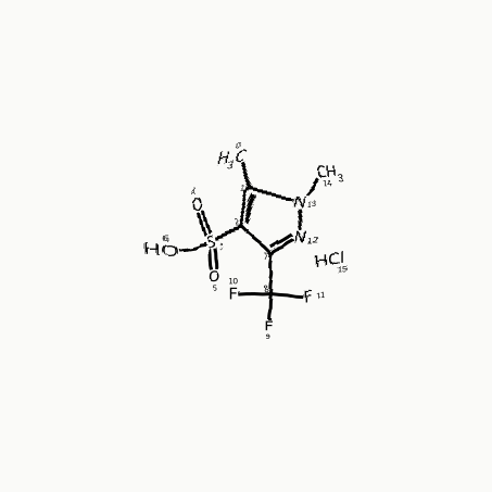 Cc1c(S(=O)(=O)O)c(C(F)(F)F)nn1C.Cl